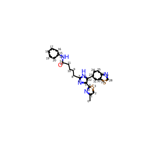 Cc1csc(-c2nc(CCCCC(=O)Nc3ccccc3)[nH]c2-c2ccc3ncsc3c2)n1